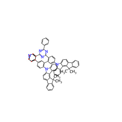 CC1(C)c2ccccc2-c2ccc3c(c21)c1ccccc1n3-c1ccc(-c2nc(-c3ccccc3)nc(-c3ccccc3)n2)c(-c2cc(-c3ccncc3)ccc2-n2c3ccccc3c3c4c(ccc32)-c2ccccc2C4(C)C)c1